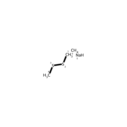 C.CSSC.[NaH]